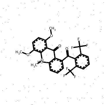 COc1ccc(OC)c(C(=O)c2c(O)cccc2C(=O)c2c(C(F)(F)F)cccc2C(F)(F)F)c1OC